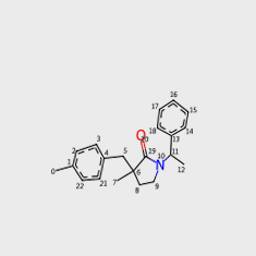 Cc1ccc(CC2(C)CCN(C(C)c3ccccc3)C2=O)cc1